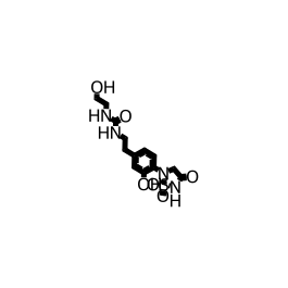 O=C1CN(c2ccc(CCNC(=O)NCCO)cc2O)S(=O)(=O)N1